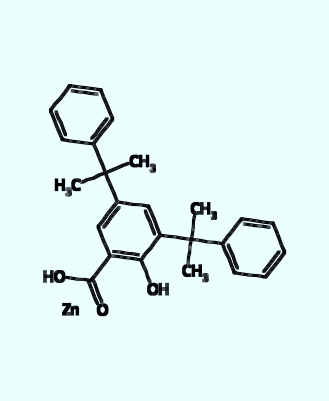 CC(C)(c1ccccc1)c1cc(C(=O)O)c(O)c(C(C)(C)c2ccccc2)c1.[Zn]